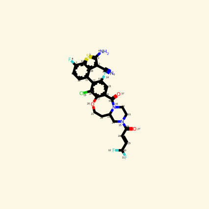 N#Cc1c(N)sc2c(F)ccc(-c3c(F)cc4c(c3Cl)OCCC3CN(C(=O)/C=C/C(F)F)CCN3C4=O)c12